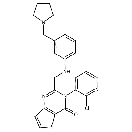 O=c1c2sccc2nc(CNc2cccc(CN3CCCC3)c2)n1-c1cccnc1Cl